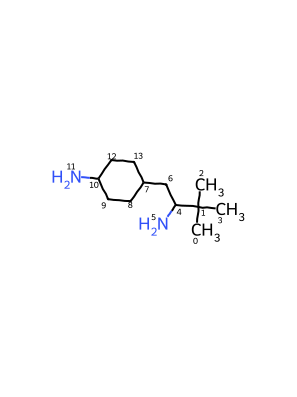 CC(C)(C)C(N)CC1CCC(N)CC1